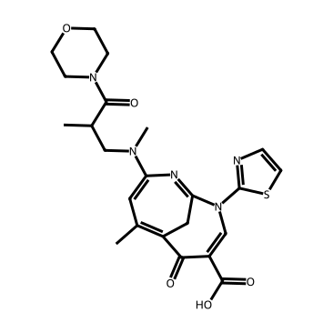 CC1=C2CC(=NC(N(C)CC(C)C(=O)N3CCOCC3)=C1)N(c1nccs1)C=C(C(=O)O)C2=O